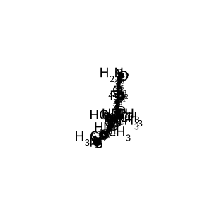 Cc1ncsc1-c1ccc([C@H](C)NC(=O)[C@@H]2C[C@@H](O)CN2C(=O)[C@@H](NC(=O)CCCc2cccc(OCCCCC(N)=O)c2F)C(C)(C)C)cc1